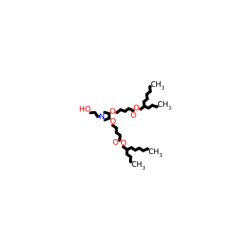 CCCCCCC(CCCC)COC(=O)CCCCO[C@H]1CN(CCCO)C[C@H]1OCCCCC(=O)OCC(CCCC)CCCCCC